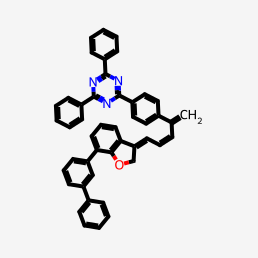 C=C(/C=C\C=C1/COc2c1cccc2-c1cccc(-c2ccccc2)c1)c1ccc(-c2nc(-c3ccccc3)nc(-c3ccccc3)n2)cc1